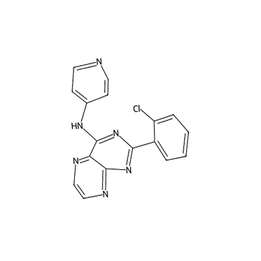 Clc1ccccc1-c1nc(Nc2ccncc2)c2nccnc2n1